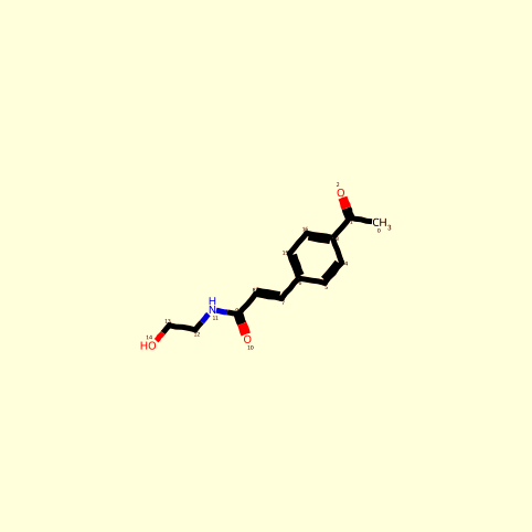 CC(=O)c1ccc(C=CC(=O)NCCO)cc1